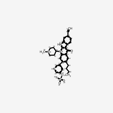 C#Cc1ccc2c(c1)[nH]c1c2c(=O)c2cc(CCCC)c(-c3cncc(OS(=O)(=O)F)c3)cc2n1C1CCN(C)CC1